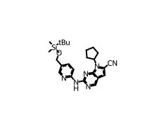 CC(C)(C)[Si](C)(C)OCc1ccc(Nc2ncc3cc(C#N)n(C4CCCC4)c3n2)nc1